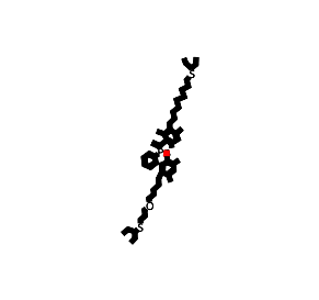 C=C(c1c(C)cc(C)c(CCCCCCCCCSC(CC)CC)c1C)P(C(=C)c1c(C)cc(C)c(CCCCCOCCCSC(CC)CC)c1C)c1ccccc1